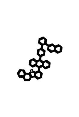 c1ccc(-c2ccc3ccccc3c2)c(-c2ccc(-c3c4ccccc4c(-c4cccc5c4oc4c6ccccc6ccc54)c4ccccc34)cc2)c1